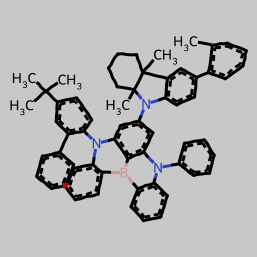 Cc1ccccc1-c1ccc2c(c1)C1(C)CCCCC1(C)N2c1cc2c3c(c1)N(c1ccc(C(C)(C)C)cc1-c1ccccc1)c1ccccc1B3c1ccccc1N2c1ccccc1